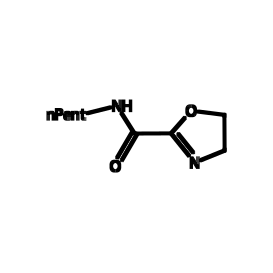 CCCCCNC(=O)C1=NCCO1